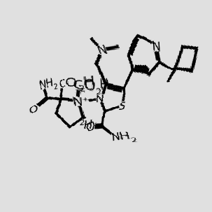 [2H]C1CCC(C(N)=O)(C(=O)O)[N+]1(C(=O)O)N1C(CN(C)C)=C(c2ccnc(C3(C)CCC3)c2)SC1C(N)=O